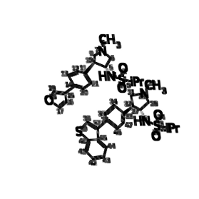 CC(C)S(=O)(=O)N[C@H]1CN(C)C[C@@H]1c1ccc(-c2ccoc2)cc1.CC(C)S(=O)(=O)N[C@H]1CN(C)C[C@@H]1c1ccc(-c2csc3ccccc23)cc1